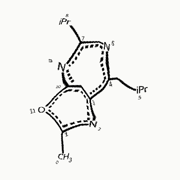 Cc1nc2c(C(C)C)nc(C(C)C)nc2o1